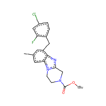 Cc1cc(Cc2ccc(Cl)cc2F)c2nc3n(c2c1)CCN(C(=O)OC(C)(C)C)C3